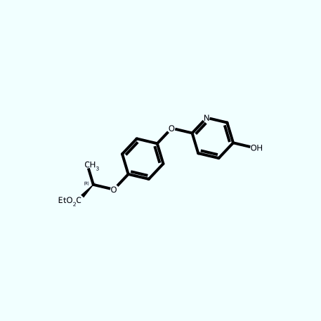 CCOC(=O)[C@@H](C)Oc1ccc(Oc2ccc(O)cn2)cc1